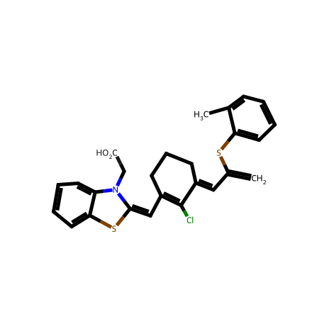 C=C(/C=C1\CCCC(/C=C2/Sc3ccccc3N2CC(=O)O)=C1Cl)Sc1ccccc1C